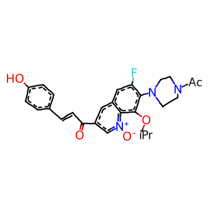 CC(=O)N1CCN(c2c(F)cc3cc(C(=O)C=Cc4ccc(O)cc4)c[n+]([O-])c3c2OC(C)C)CC1